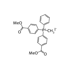 COC(=O)c1ccc([P+](C)(c2ccccc2)c2ccc(C(=O)OC)cc2)cc1.[I-]